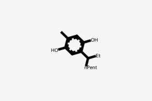 CCCCCC(CC)c1cc(O)c(C)cc1O